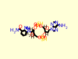 C=C1[C@H]2OP(=O)(S)OC[C@H]3O[C@@H](n4cnc5c(N)ncnc54)C[C@@H]3OP(=O)(S)OC[C@H]1O[C@H]2n1nnc2c(C(N)=O)cccc21